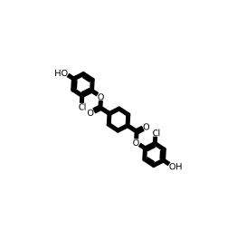 O=C(Oc1ccc(O)cc1Cl)C1CCC(C(=O)Oc2ccc(O)cc2Cl)CC1